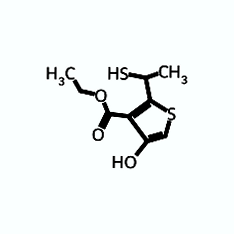 CCOC(=O)c1c(O)csc1C(C)S